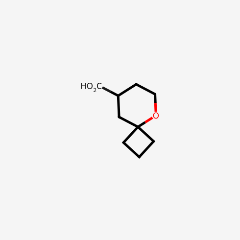 O=C(O)C1CCOC2(CCC2)C1